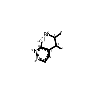 CC(Br)C(C)c1ccnnc1Cl